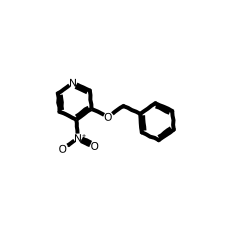 O=[N+]([O-])c1ccncc1OCc1ccccc1